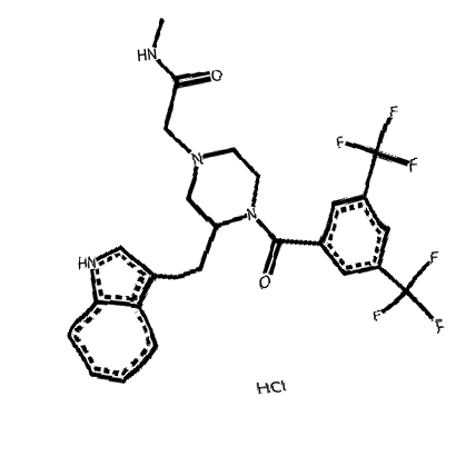 CNC(=O)CN1CCN(C(=O)c2cc(C(F)(F)F)cc(C(F)(F)F)c2)C(Cc2c[nH]c3ccccc23)C1.Cl